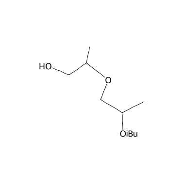 CC(C)COC(C)COC(C)CO